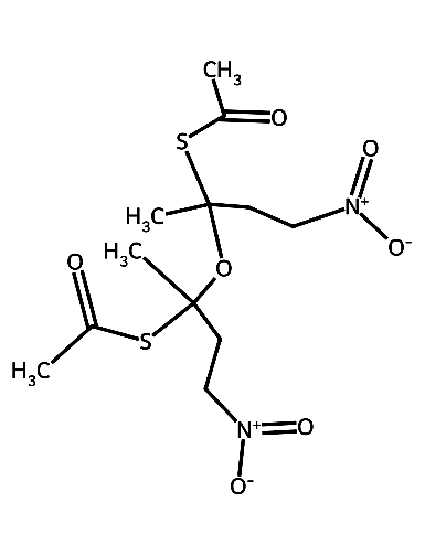 CC(=O)SC(C)(CC[N+](=O)[O-])OC(C)(CC[N+](=O)[O-])SC(C)=O